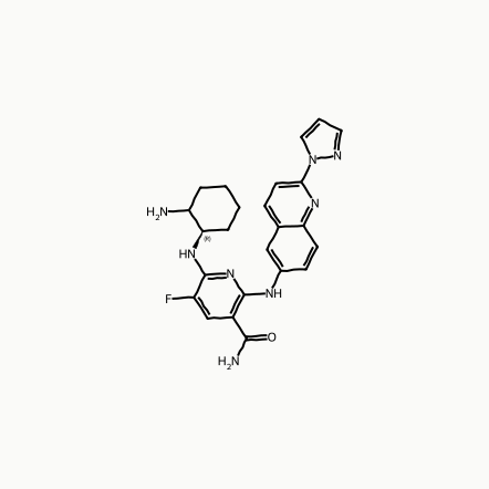 NC(=O)c1cc(F)c(N[C@@H]2CCCCC2N)nc1Nc1ccc2nc(-n3cccn3)ccc2c1